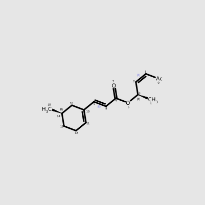 CC(=O)/C=C\[C@@H](C)OC(=O)/C=C/C1=CCC[C@@H](C)C1